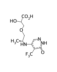 C[C@@H](COCC(O)C(=O)O)Nc1cn[nH]c(=O)c1C(F)(F)F